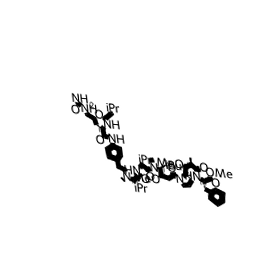 CC[C@H](C)[C@@H]([C@@H](CC(=O)N1CCC[C@H]1[C@H](OC)[C@@H](C)C(=O)N[C@@H](Cc1ccccc1)C(=O)OC)OC)N(C)C(=O)[C@@H](NC(=O)[C@H](C(C)C)N(C)CCc1ccc(NC(=O)[C@H](CCCNC(N)=O)NC(=O)CC(C)C)cc1)C(C)C